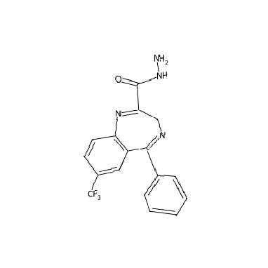 NNC(=O)C1=Nc2ccc(C(F)(F)F)cc2C(c2ccccc2)=NC1